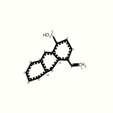 C=Cc1ccc(C(=O)O)c2cc3ccccc3cc12